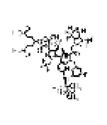 CC(C)(C#Cc1ccc(-c2ccc(Cl)c3c(N(C(=O)OC(CCC(=O)O)CCC(=O)O)S(C)(=O)=O)nn(CC(F)(F)F)c23)c([C@H](Cc2cc(F)cc(F)c2)NC(=O)Cn2nc(C(F)(F)F)c3c2C(F)(F)[C@@H]2C[C@H]32)n1)S(C)(=O)=O